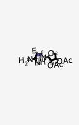 CC(=O)OC1COC(N/C=C(/F)C(=N)N)C1OC(C)=O